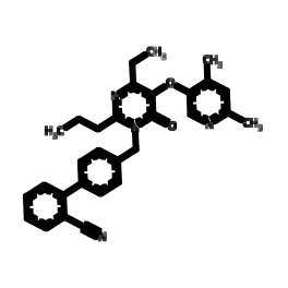 CCCc1nc(CC)c(Oc2cnc(C)cc2C)c(=O)n1Cc1ccc(-c2ccccc2C#N)cc1